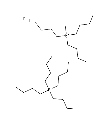 CCCC[P+](C)(CCCC)CCCC.CCCC[P+](CCCC)(CCCC)CCCC.[I-].[I-]